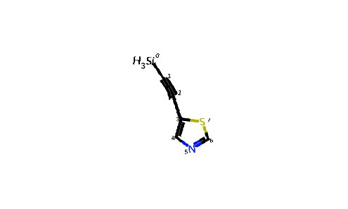 [SiH3]C#Cc1cncs1